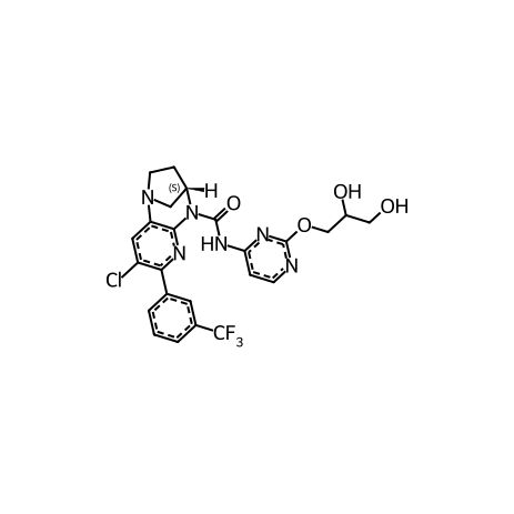 O=C(Nc1ccnc(OCC(O)CO)n1)N1c2nc(-c3cccc(C(F)(F)F)c3)c(Cl)cc2N2CC[C@H]1C2